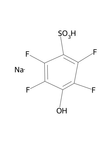 O=S(=O)(O)c1c(F)c(F)c(O)c(F)c1F.[Na]